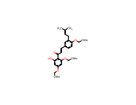 COCOc1cc(O)c(C(=O)/C=C/c2ccc(OCOC)c(CC=C(C)C)c2)c(OCOC)c1